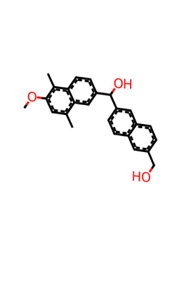 COc1cc(C)c2cc(C(O)c3ccc4cc(CO)ccc4c3)ccc2c1C